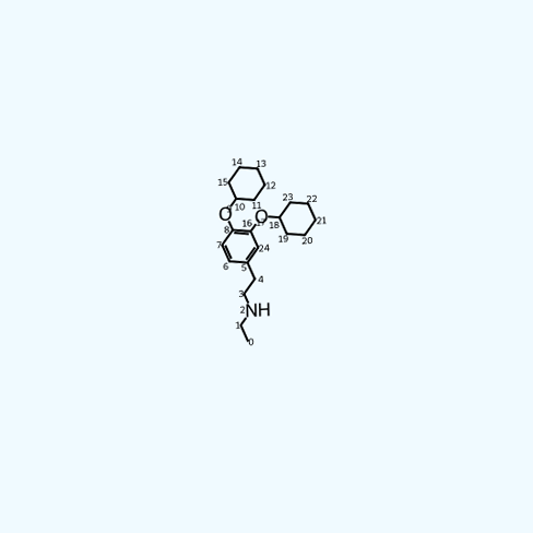 CCNCCc1ccc(OC2CCCCC2)c(OC2CCCCC2)c1